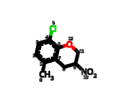 Cc1ccc(Cl)c2c1CC([N+](=O)[O-])CO2